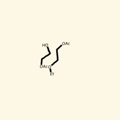 CC(=O)OCCO.CCOCCOC(C)=O